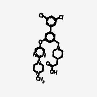 CN1CCN(c2ncc(Oc3cc(CN4CCC(CC(=O)O)CC4)cc(-c4cc(Cl)cc(Cl)c4)c3)cn2)CC1